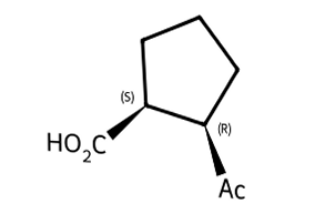 CC(=O)[C@@H]1CCC[C@@H]1C(=O)O